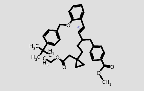 CCOC(=O)CC1(CCC(/C=C/c2ccccc2OCc2ccc(C(C)(C)C)cc2)Cc2ccc(C(=O)OC)cc2)CC1